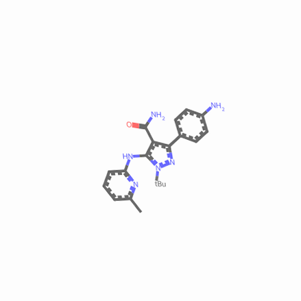 Cc1cccc(Nc2c(C(N)=O)c(-c3ccc(N)cc3)nn2C(C)(C)C)n1